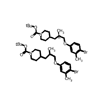 Cc1cc(OCC(C)CC2CCN(C(=O)OC(C)(C)C)CC2)ccc1Br.Cc1cc(OC[C@H](C)CC2CCN(C(=O)OC(C)(C)C)CC2)ccc1Br